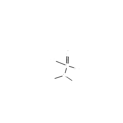 CN(C)P(=O)(F)F